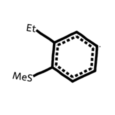 CCc1c[c]ccc1SC